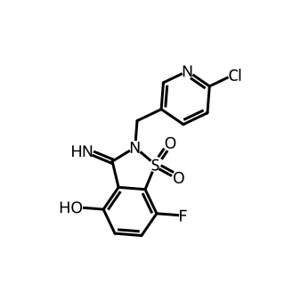 N=C1c2c(O)ccc(F)c2S(=O)(=O)N1Cc1ccc(Cl)nc1